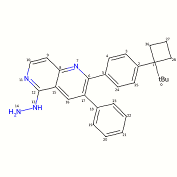 CC(C)(C)C1(c2ccc(-c3nc4ccnc(NN)c4cc3-c3ccccc3)cc2)CCC1